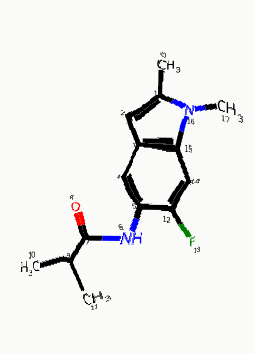 Cc1cc2cc(NC(=O)C(C)C)c(F)cc2n1C